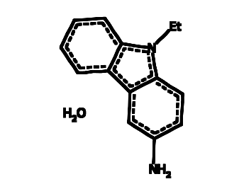 CCn1c2ccccc2c2cc(N)ccc21.O